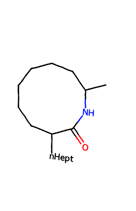 CCCCCCCC1CCCCCCC(C)NC1=O